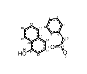 O=S(=O)=Nc1ccccc1.Oc1cccc2ccccc12